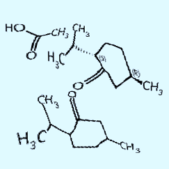 CC(=O)O.CC(C)[C@@H]1CC[C@@H](C)CC1=O.CC1CCC(C(C)C)C(=O)C1